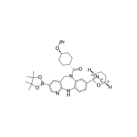 CC(C)O[C@H]1CC[C@H](C(=O)N2Cc3cc(B4OC(C)(C)C(C)(C)O4)cnc3Nc3ccc(N4C[C@@H]5CC[C@H]4CO5)cc32)CC1